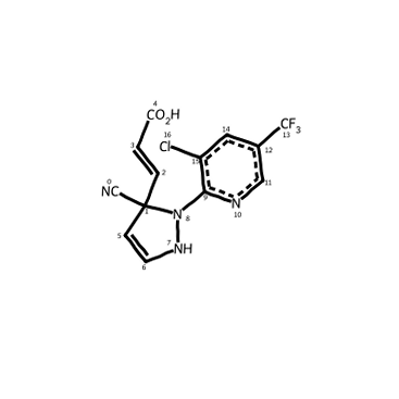 N#CC1(C=CC(=O)O)C=CNN1c1ncc(C(F)(F)F)cc1Cl